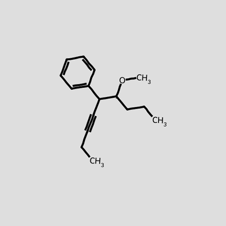 CCC#CC([C](CCC)OC)c1ccccc1